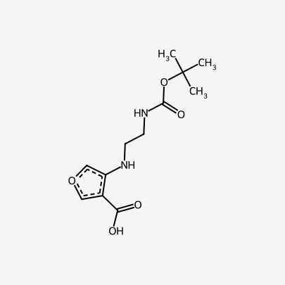 CC(C)(C)OC(=O)NCCNc1cocc1C(=O)O